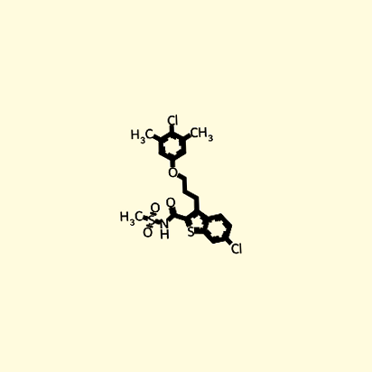 Cc1cc(OCCCc2c(C(=O)NS(C)(=O)=O)sc3cc(Cl)ccc23)cc(C)c1Cl